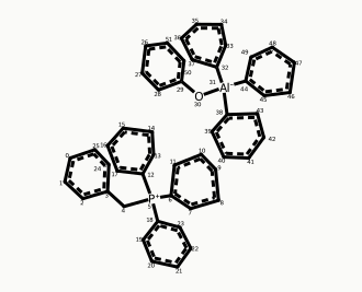 c1ccc(C[P+](c2ccccc2)(c2ccccc2)c2ccccc2)cc1.c1ccc([O][Al-]([c]2ccccc2)([c]2ccccc2)[c]2ccccc2)cc1